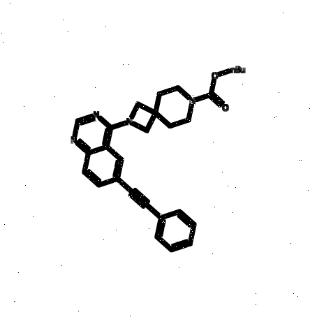 CCCCOC(=O)N1CCC2(CC1)CN(c1ncnc3ccc(C#Cc4ccccc4)cc13)C2